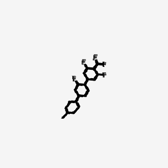 CC1CCC(C2CCC(C3CC(F)C(C(F)F)C(F)C3)C(F)C2)CC1